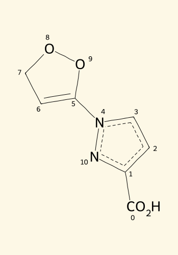 O=C(O)c1ccn(C2=CCOO2)n1